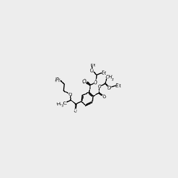 CCOC(C)OC(=O)c1ccc(C(=O)C(C)OCCC(C)C)cc1C(=O)OC(CC)OCC